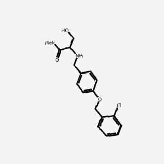 CNC(=O)C(CO)NCc1ccc(OCc2ccccc2Cl)cc1